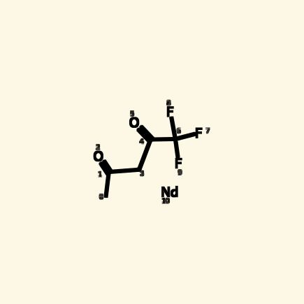 CC(=O)CC(=O)C(F)(F)F.[Nd]